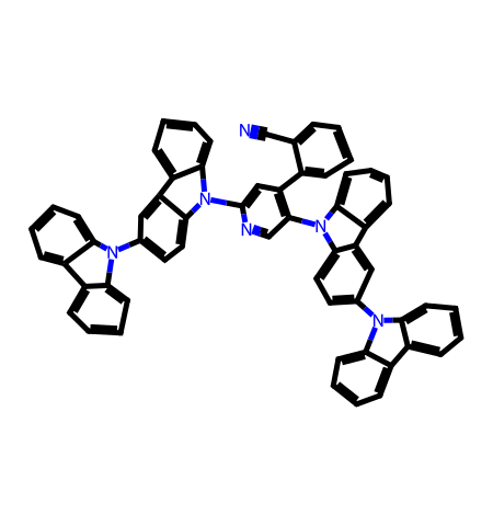 N#Cc1ccccc1-c1cc(-n2c3ccccc3c3cc(-n4c5ccccc5c5ccccc54)ccc32)ncc1-n1c2ccccc2c2cc(-n3c4ccccc4c4ccccc43)ccc21